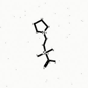 C=C(C)[Si](C)(C)CCN1CCCC1